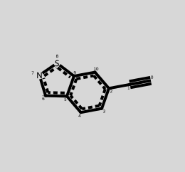 C#Cc1ccc2[c]nsc2c1